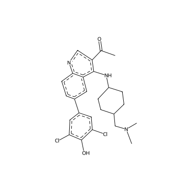 CC(=O)c1cnc2ccc(-c3cc(Cl)c(O)c(Cl)c3)cc2c1NC1CCC(CN(C)C)CC1